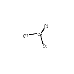 C[CH2][Cd]([CH2]C)[CH2]C